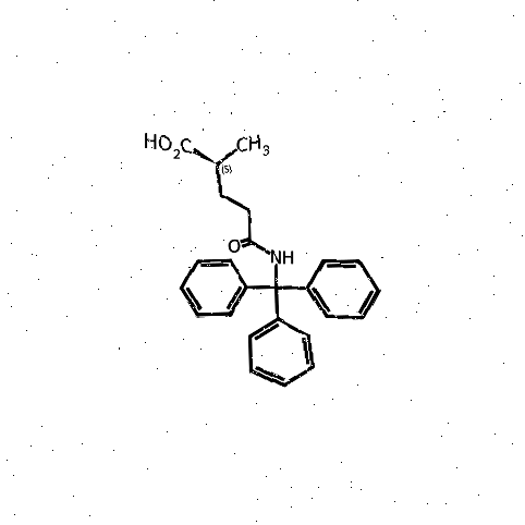 C[C@@H](CCC(=O)NC(c1ccccc1)(c1ccccc1)c1ccccc1)C(=O)O